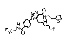 O=C(NCC(F)(F)F)c1ccc(-n2nnc(C(=O)NCCc3cccs3)c2CCCCCF)cc1